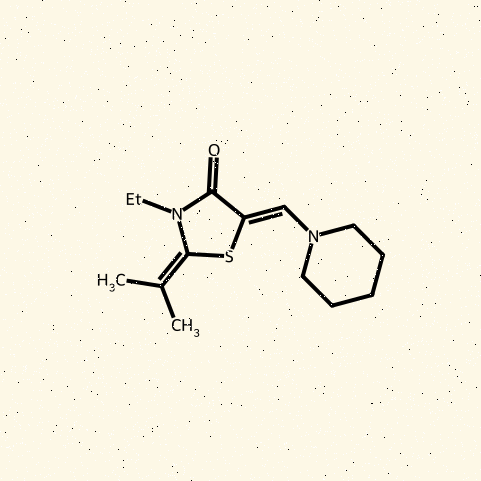 CCn1c(=C(C)C)s/c(=C\N2CCCCC2)c1=O